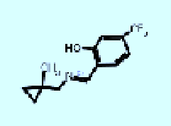 CC1(C/N=C/c2ccc(C(F)(F)F)cc2O)CC1